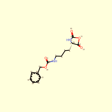 O=C(NCCCC[C@@H]1NC(=O)OC1=O)OCc1ccccc1